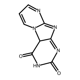 O=C1N=C2N=C3N=CC=CN3C2C(=O)N1